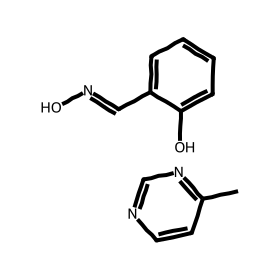 Cc1ccncn1.ON=Cc1ccccc1O